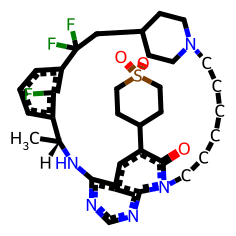 C[C@H]1Nc2ncnc3c2cc(C2CCS(=O)(=O)CC2)c(=O)n3CCCCCCN2CCC(CC2)CC(F)(F)c2cccc1c2F